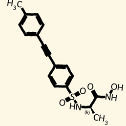 Cc1ccc(C#Cc2ccc(S(=O)(=O)N[C@H](C)C(=O)NO)cc2)cc1